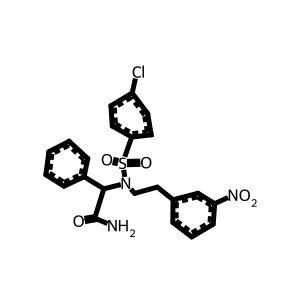 NC(=O)C(c1ccccc1)N(CCc1cccc([N+](=O)[O-])c1)S(=O)(=O)c1ccc(Cl)cc1